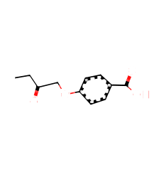 CCC(=O)COc1ccc(C(=O)O)cc1